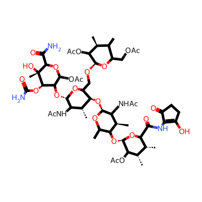 CC(=O)NC1[C@H](O[C@@H]2C(CO[C@@H]3OC(COC(C)=O)C(C)[C@H](C)C3OC(C)=O)O[C@@H](OC3C(OC(C)=O)OC(C(N)=O)[C@@](C)(O)[C@@H]3OC(N)=O)C(NC(C)=O)[C@H]2C)OC(C)C(O[C@@H]2OC(C(=O)NC3=C(O)CCC3=O)[C@H](C)[C@H](C)C2OC(C)=O)[C@@H]1C